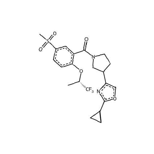 C[C@H](Oc1ccc(S(C)(=O)=O)cc1C(=O)N1CCC(c2coc(C3CC3)n2)C1)C(F)(F)F